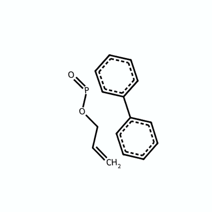 C=CCOP=O.c1ccc(-c2ccccc2)cc1